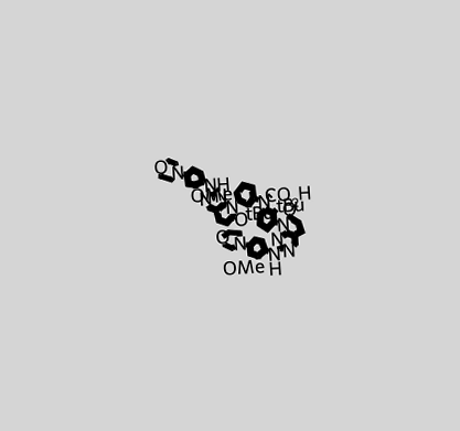 COc1cc(N2CCOCC2)ccc1Nc1ncc2ccc(=O)n(-c3cccc(N(C(=O)O)c4cccc(-n5c(=O)ccc6cnc(Nc7ccc(N8CCOCC8)cc7OC)nc65)c4C(C)(C)C)c3C(C)(C)C)c2n1